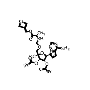 CC(C)C(=O)O[C@H]1[C@H](c2ccc3c(N)ncnn23)O[C@](C#N)(COCN[C@@H](C)C(=O)OCC2COC2)[C@H]1OC(=O)C(C)C